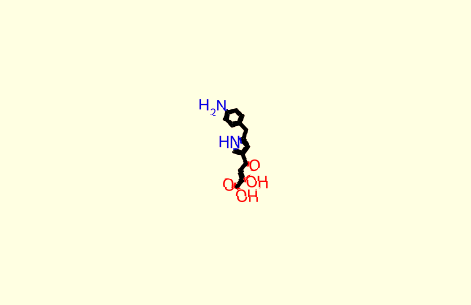 Nc1ccc(Cc2cc(C(=O)/C=C(\O)C(=O)O)c[nH]2)cc1